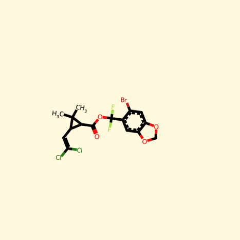 CC1(C)C(C=C(Cl)Cl)C1C(=O)OC(F)(F)c1cc2c(cc1Br)OCO2